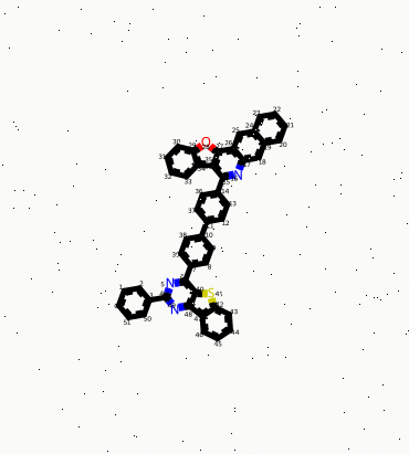 c1ccc(-c2nc(-c3ccc(-c4ccc(-c5nc6cc7ccccc7cc6c6oc7ccccc7c56)cc4)cc3)c3sc4ccccc4c3n2)cc1